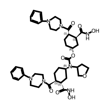 O=C(NO)[C@H]1C[C@H](OC(=O)N(C2CCOC2)[C@@H]2CC[C@H](C(=O)N3CCN(c4ccccc4)CC3)[C@@H](C(=O)NO)C2)CC[C@@H]1C(=O)N1CCN(c2ccccc2)CC1